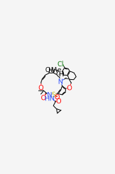 CO[C@H]1C=CCOC(C)(C)C(=O)N=[S@@](=O)(NC(=O)CC2CC2)c2ccc3c(c2)N(C[C@@H]2CC[C@H]21)C[C@@]1(CCCc2cc(Cl)ccc21)CO3